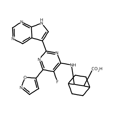 O=C(O)C1C2CCC(CC2)C1Nc1nc(-c2c[nH]c3ncncc23)nc(-c2ccno2)c1F